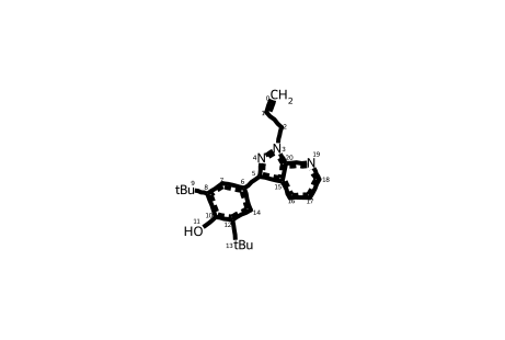 C=CCn1nc(-c2cc(C(C)(C)C)c(O)c(C(C)(C)C)c2)c2cccnc21